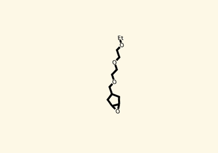 CCOCCOCCOCC1CC2OC2C1